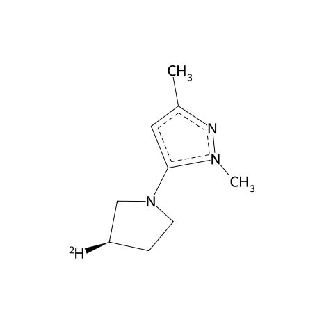 [2H][C@@H]1CCN(c2cc(C)nn2C)C1